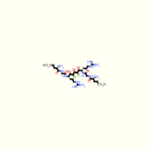 N=C(N)NCCC[C@H](NC(=O)CNC(=O)[C@@H](N)CCC(=O)O)C(=O)C(Cl)C(=O)C(Cl)C(=O)[C@H](CCCNC(=N)N)NC(=O)CNC(=O)[C@@H](N)CCC(=O)O